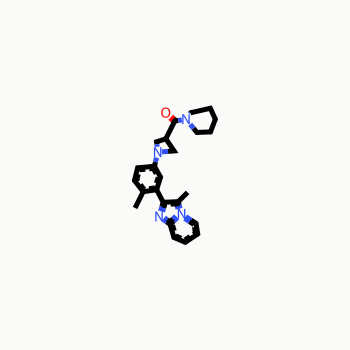 Cc1ccc(N2CC(C(=O)N3CCCCC3)C2)cc1-c1nc2ccccn2c1C